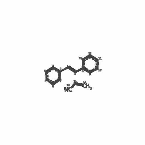 C(=Cc1ccccc1)c1ccccc1.C=CC#N